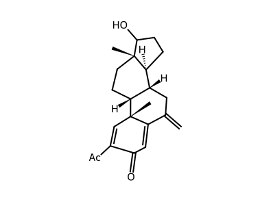 C=C1C[C@@H]2[C@@H](CC[C@]3(C)C(O)CC[C@@H]23)[C@@]2(C)C=C(C(C)=O)C(=O)C=C12